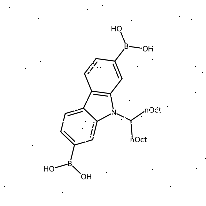 CCCCCCCCC(CCCCCCCC)n1c2cc(B(O)O)ccc2c2ccc(B(O)O)cc21